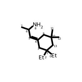 CCC1(CC)C/C(=C/C(C)N)CC(C)(C)C1